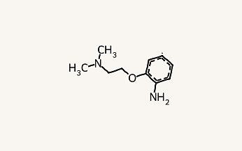 CN(C)CCOc1c[c]ccc1N